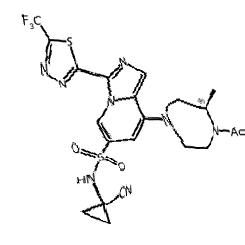 CC(=O)N1CCN(c2cc(S(=O)(=O)NC3(C#N)CC3)cn3c(-c4nnc(C(F)(F)F)s4)ncc23)C[C@H]1C